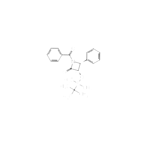 CC(C)(C)[Si](C)(C)O[C@H]1C(=O)N(C(=O)c2ccccc2)[C@H]1c1ccccc1